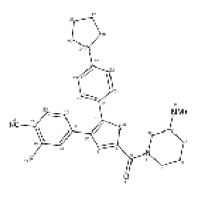 CNC1CCCN(C(=O)c2cc(-c3ccc(C#N)c(F)c3)c(-c3ccc(N4CCCC4)cc3)s2)C1